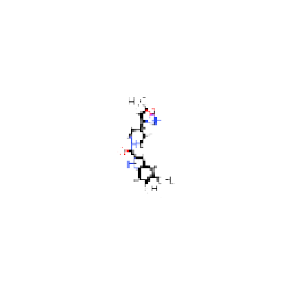 CC1=CC(C2CCN(C(=O)c3cc4cc(C)c(C)cc4[nH]3)CC2)NO1